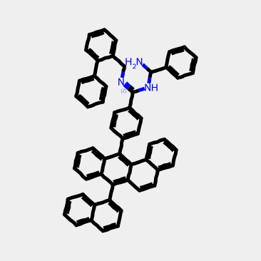 NC(N/C(=N\Cc1ccccc1-c1ccccc1)c1ccc(-c2c3ccccc3c(-c3cccc4ccccc34)c3ccc4ccccc4c23)cc1)c1ccccc1